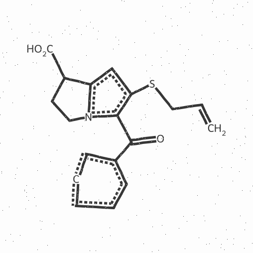 C=CCSc1cc2n(c1C(=O)c1ccccc1)CCC2C(=O)O